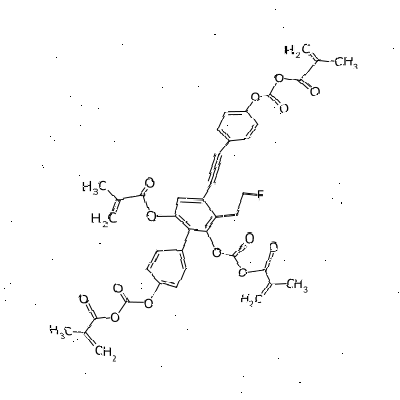 C=C(C)C(=O)OC(=O)Oc1ccc(C#Cc2cc(OC(=O)C(=C)C)c(-c3ccc(OC(=O)OC(=O)C(=C)C)cc3)c(OC(=O)OC(=O)C(=C)C)c2CCF)cc1